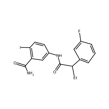 CCC(C(=O)Nc1ccc(I)c(C(N)=O)c1)c1cccc(F)c1